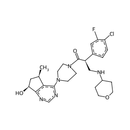 C[C@@H]1C[C@H](O)c2ncnc(N3CCN(C(=O)[C@H](CNC4CCOCC4)c4ccc(Cl)c(F)c4)CC3)c21